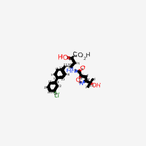 CC(C)(O)c1cc(C(=O)N[C@H](Cc2ccc(-c3cccc(Cl)c3)cc2)C[C@@H](O)C(=O)O)on1